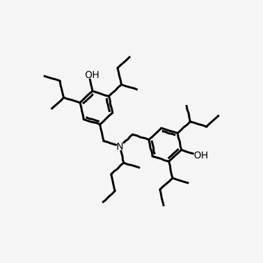 CCCC(C)N(Cc1cc(C(C)CC)c(O)c(C(C)CC)c1)Cc1cc(C(C)CC)c(O)c(C(C)CC)c1